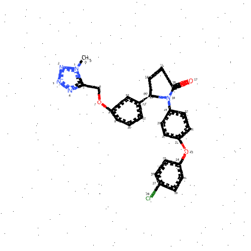 Cn1nnnc1COc1cccc([C@H]2CCC(=O)N2c2ccc(Oc3ccc(Cl)cc3)cc2)c1